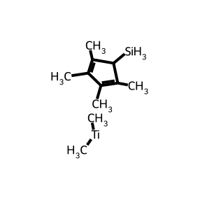 CC1=C(C)C([SiH3])C(C)=C1C.[CH3][Ti][CH3]